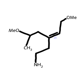 COC/C=C(/CCN)CC(C)OC